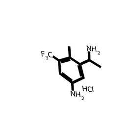 Cc1c(C(C)N)cc(N)cc1C(F)(F)F.Cl